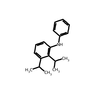 CC(C)c1cccc(Nc2ccccc2)c1C(C)C